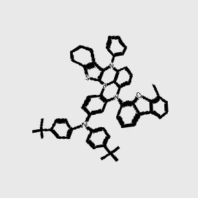 Cc1cccc2c1oc1c(N3c4cc(N(c5ccc(C(C)(C)C)cc5)c5ccc(C(C)(C)C)cc5)ccc4B4c5sc6c(c5N(c5ccccc5)c5cccc3c54)CCCC6)cccc12